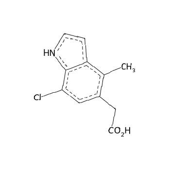 Cc1c(CC(=O)O)cc(Cl)c2[nH]ccc12